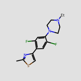 CCN1CCN(c2cc(F)c(-c3csc(C)n3)cc2F)CC1